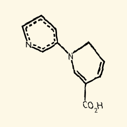 O=C(O)C1=CN(c2cccnc2)CC=C1